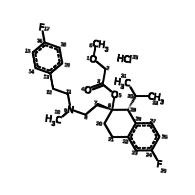 COCC(=O)O[C@@]1(CCN(C)CCc2ccc(F)cc2)CCc2cc(F)ccc2[C@H]1C(C)C.Cl